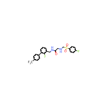 O=C(CNCS(=O)(=O)c1ccc(F)cc1)NCc1cccc(-c2ccc(C(F)(F)F)cc2)c1F